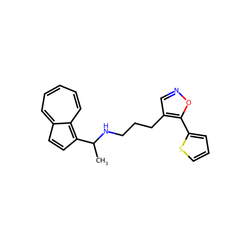 CC(NCCCc1cnoc1-c1cccs1)c1ccc2cccccc1-2